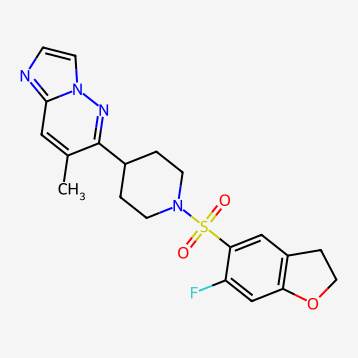 Cc1cc2nccn2nc1C1CCN(S(=O)(=O)c2cc3c(cc2F)OCC3)CC1